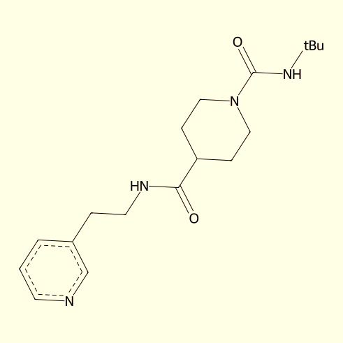 CC(C)(C)NC(=O)N1CCC(C(=O)NCCc2cccnc2)CC1